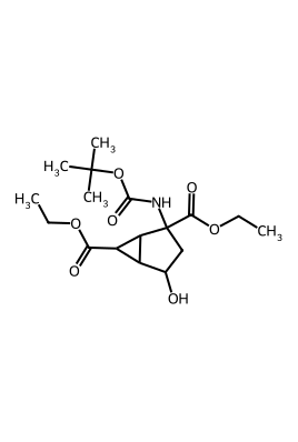 CCOC(=O)C1C2C(O)CC(NC(=O)OC(C)(C)C)(C(=O)OCC)C12